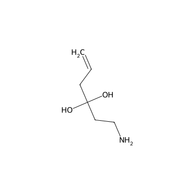 C=CCC(O)(O)CCN